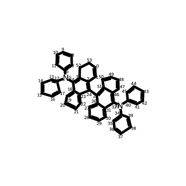 C1=Cc2c(c(N(c3ccccc3)c3ccccc3)c3ccccc3c2-c2c3ccccc3c(N(c3ccccc3)c3ccccc3)c3ccccc23)CC1